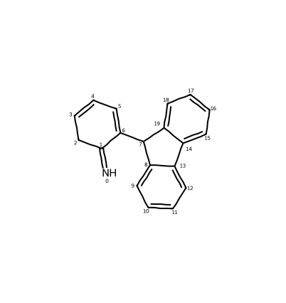 N=C1CC=CC=C1C1c2ccccc2-c2ccccc21